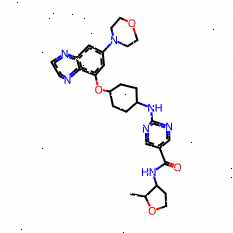 CC1OCCC1NC(=O)c1cnc(NC2CCC(Oc3cc(N4CCOCC4)cc4nccnc34)CC2)nc1